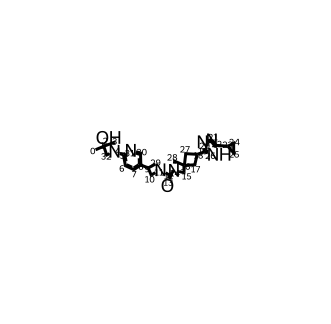 CC1(O)CN(c2ccc(C3CN(C(=O)N4CC5(CC(c6nnc(C7CC7)[nH]6)C5)C4)C3)cn2)C1